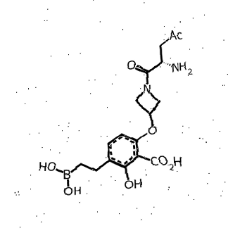 CC(=O)C[C@H](N)C(=O)N1CC(Oc2ccc(CCB(O)O)c(O)c2C(=O)O)C1